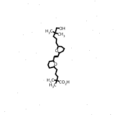 CC(C)(CO)CCCC1CCCC(C=CC2CCCC(CCCC(C)(C)C(=O)O)O2)O1